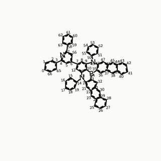 c1ccc(-c2cc(-c3cc4c5c(c3)N(c3ccccc3)c3cc6cc7ccccc7cc6cc3B5c3cc5cc6ccccc6cc5cc3N4c3ccccc3)cc(-c3ccccc3)n2)cc1